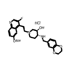 COc1ccc2ncc(F)c(CCN3CC[C@@H](NCc4ccc5c(c4)OCCO5)[C@H](O)C3)c2c1.Cl